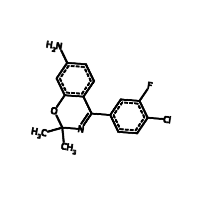 CC1(C)N=C(c2ccc(Cl)c(F)c2)c2ccc(N)cc2O1